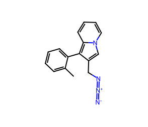 Cc1ccccc1-c1c(CN=[N+]=[N-])cn2ccccc12